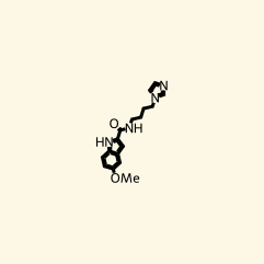 COc1ccc2[nH]c(C(=O)NCCCCn3ccnc3)cc2c1